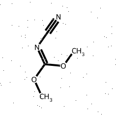 COC(=NC#N)OC